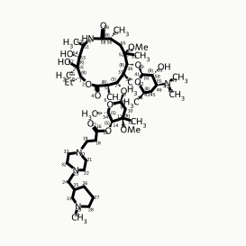 CC[C@H]1OC(=O)[C@H](C)[C@@H](O[C@H]2C[C@@](C)(OC)[C@@H](OC(=O)CCN3CCN(CC4CCCN(C)C4)CC3)[C@H](C)O2)[C@H](C)[C@@H](O[C@@H]2O[C@H](C)C[C@H](N(C)C)[C@H]2O)[C@](C)(OC)C[C@@H](C)C(=O)N[C@H](C)[C@@H](O)[C@]1(C)O